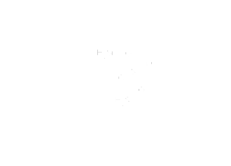 CC(C)=C[SiH2]OS(=O)(=O)O[SiH2]C=C(C)C